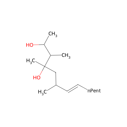 CCCCCC=CC(C)CC(C)(O)C(C)C(C)O